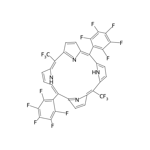 Fc1c(F)c(F)c(-c2c3nc(c(C(F)(F)F)c4ccc([nH]4)c(-c4c(F)c(F)c(F)c(F)c4F)c4nc(c(C(F)(F)F)c5ccc2[nH]5)C=C4)C=C3)c(F)c1F